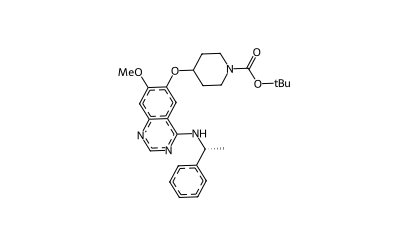 COc1cc2ncnc(N[C@H](C)c3ccccc3)c2cc1OC1CCN(C(=O)OC(C)(C)C)CC1